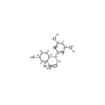 COc1cc(OC)nc(C(CO)c2ccc(F)cc2N)n1